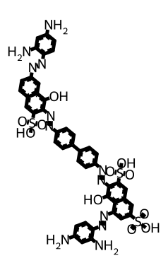 Nc1ccc(N=Nc2ccc3cc(S(=O)(=O)O)c(N=Nc4ccc(-c5ccc(N=Nc6c(S(=O)(=O)O)cc7cc(S(=O)(=O)O)cc(N=Nc8ccc(N)cc8N)c7c6O)cc5)cc4)c(O)c3c2)c(N)c1